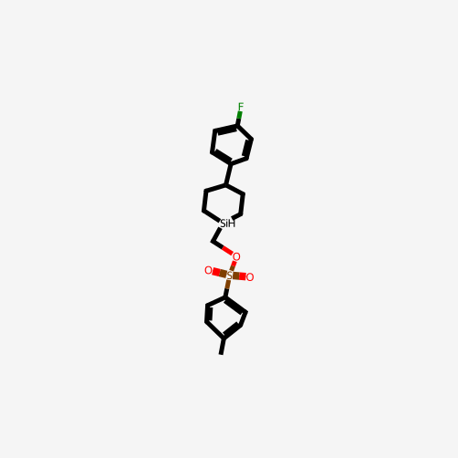 Cc1ccc(S(=O)(=O)OC[SiH]2CCC(c3ccc(F)cc3)CC2)cc1